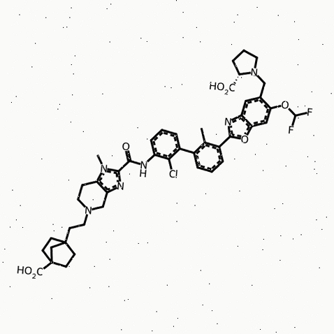 Cc1c(-c2nc3cc(CN4CCC[C@H]4C(=O)O)c(OC(F)F)cc3o2)cccc1-c1cccc(NC(=O)c2nc3c(n2C)CCN(CCC24CCC(C(=O)O)(CC2)C4)C3)c1Cl